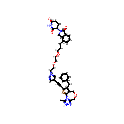 Cc1nnc2n1-c1sc(C#Cc3cnn(CCOCCOCCCc4cccc5c4CN(C4CCC(=O)NC4=O)C5=O)c3)c(Cc3ccccc3)c1COC2